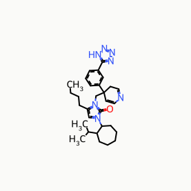 CCCCc1cn(C2CCCCCC2C(C)C)c(=O)n1CC1(c2cccc(-c3nnn[nH]3)c2)C=CN=CC1